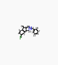 C=C1c2ccc(F)cc2C2CN(Cc3ccccc3)CC12